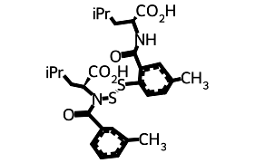 Cc1cccc(C(=O)N(SSc2ccc(C)cc2C(=O)N[C@@H](CC(C)C)C(=O)O)[C@@H](CC(C)C)C(=O)O)c1